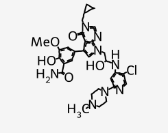 COc1cc(-c2cn(CC(O)Nc3cc(N4CCN(C)CC4)ncc3Cl)c3ncn(CC4CC4)c(=O)c23)cc(C(N)=O)c1O